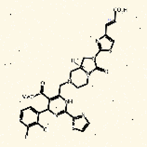 COC(=O)C1=C(CN2CCN3C(=O)N(c4nc(/C=C/C(=O)O)cs4)C[C@@H]3C2)NC(c2nccs2)=NC1c1cccc(F)c1Cl